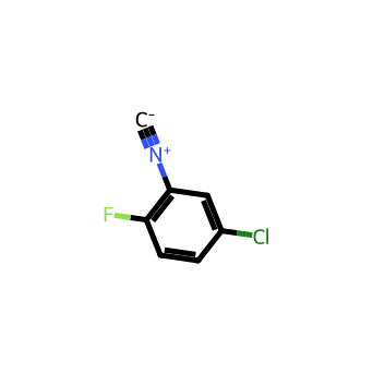 [C-]#[N+]c1cc(Cl)ccc1F